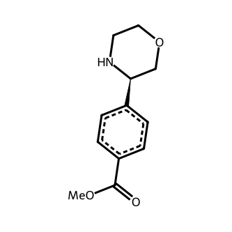 COC(=O)c1ccc([C@@H]2COCCN2)cc1